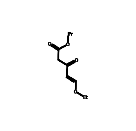 CCOC=CC(=O)CC(=O)OC(C)C